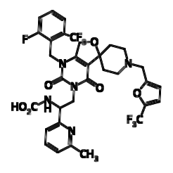 Cc1cccc(C(Cn2c(=O)c3c(n(Cc4c(F)cccc4C(F)(F)F)c2=O)COC32CCN(Cc3ccc(C(F)(F)F)o3)CC2)NC(=O)O)n1